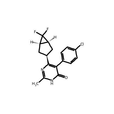 Cc1nc([C@H]2C[C@@H]3[C@H](C2)C3(F)F)c(-c2ccc(Cl)cc2)c(=O)[nH]1